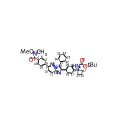 CON(C)C(=O)c1ccc(-c2ccc3nc(-c4ccc(C5(NC(=O)OC(C)(C)C)CCC5)cc4)c(-c4ccccc4)n3n2)cc1